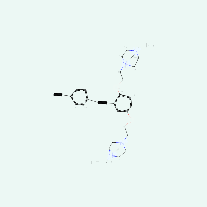 C#Cc1ccc(C#Cc2cc(OCC[N+]34CC[N+](CCCCCC)(CC3)CC4)ccc2OCC[N+]23CC[N+](CCCCCC)(CC2)CC3)cc1